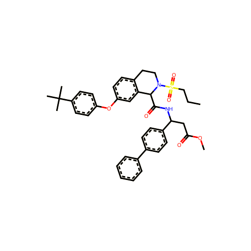 CCCS(=O)(=O)N1CCc2ccc(Oc3ccc(C(C)(C)C)cc3)cc2C1C(=O)NC(CC(=O)OC)c1ccc(-c2ccccc2)cc1